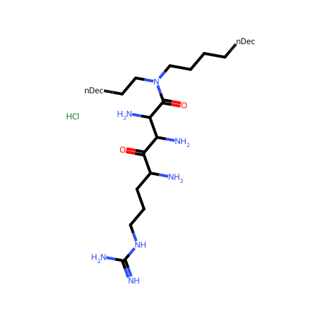 CCCCCCCCCCCCCCN(CCCCCCCCCCCC)C(=O)C(N)C(N)C(=O)C(N)CCCNC(=N)N.Cl